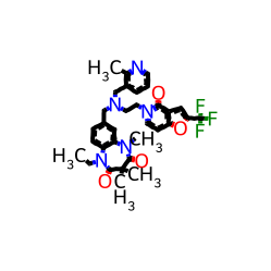 CCN1C(=O)C(C)(C)C(=O)N(C)c2cc(CN(CCn3ccc4oc(C(F)(F)F)cc4c3=O)Cc3cccnc3C)ccc21